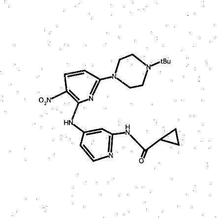 CC(C)(C)N1CCN(c2ccc([N+](=O)[O-])c(Nc3ccnc(NC(=O)C4CC4)c3)n2)CC1